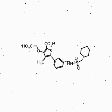 Cc1c(-c2cccc(CNS(=O)(=O)CC3CCCCC3)c2)sc(C(=O)O)c1OCC(=O)O